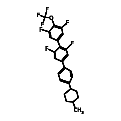 CC1CCC(c2ccc(-c3cc(F)c(-c4cc(F)c(OC(F)(F)F)c(F)c4)c(F)c3)cc2)CC1